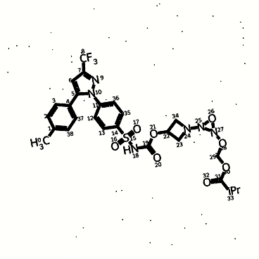 Cc1ccc(-c2cc(C(F)(F)F)nn2-c2ccc(S(=O)(=O)NC(=O)OC3CN(n4on4OCOC(=O)C(C)C)C3)cc2)cc1